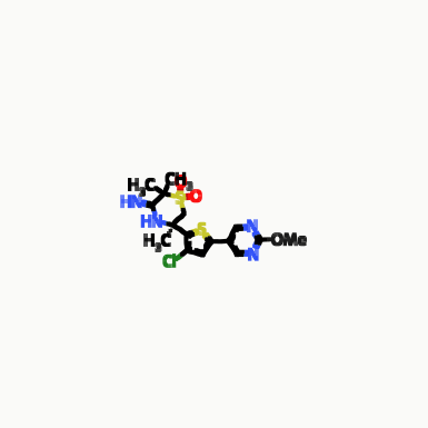 COc1ncc(-c2cc(Cl)c([C@]3(C)CS(=O)(=O)C(C)(C)C(=N)N3)s2)cn1